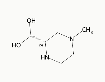 CN1CCN[C@H](C(O)O)C1